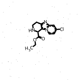 CCOC(=O)C1NCCc2nc3cc(Cl)ccn3c21